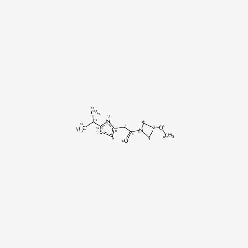 COC1CN(C(=O)Cc2csc(C(C)C)n2)C1